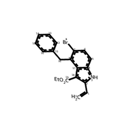 C=Cc1[nH]c2ccc(Br)c(Cc3ccccc3)c2c1C(=O)OCC